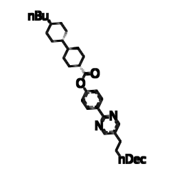 CCCCCCCCCCCCc1cnc(-c2ccc(OC(=O)[C@H]3CC[C@H]([C@H]4CC[C@H](CCCC)CC4)CC3)cc2)nc1